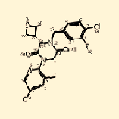 Cc1cc(Cl)cnc1N1CC(=O)N(Cc2ccc(Cl)c(F)c2)[C@@H](C2COC2)C1=O